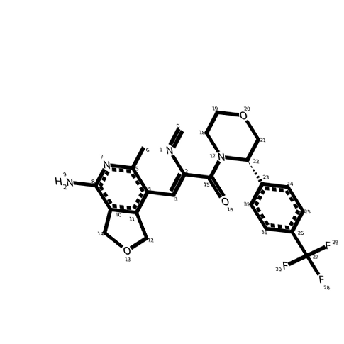 C=N/C(=C\c1c(C)nc(N)c2c1COC2)C(=O)N1CCOC[C@@H]1c1ccc(C(F)(F)F)cc1